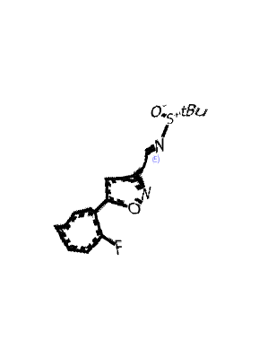 CC(C)(C)[S+]([O-])/N=C/c1cc(-c2ccccc2F)on1